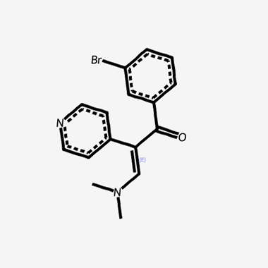 CN(C)/C=C(/C(=O)c1cccc(Br)c1)c1ccncc1